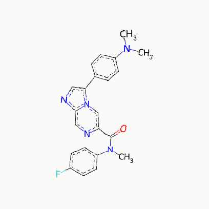 CN(C)c1ccc(-c2cnc3cnc(C(=O)N(C)c4ccc(F)cc4)cn23)cc1